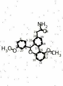 COc1cccc(C2Oc3cccc(OC)c3-c3ccc(CC(N)=O)cc32)c1